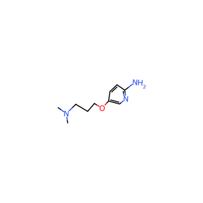 CN(C)CCCOc1ccc(N)nc1